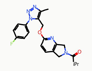 Cc1nnn(-c2ccc(F)cc2)c1COc1ccc2c(n1)CN(C(=O)C(C)C)C2